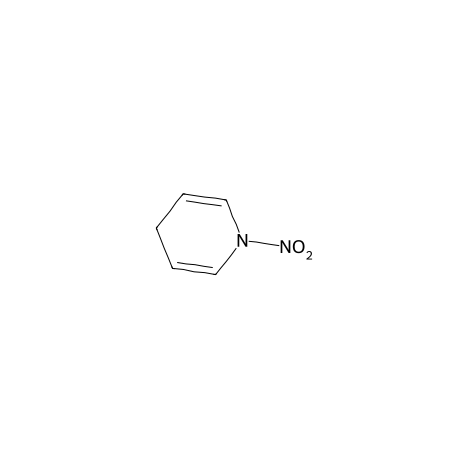 O=[N+]([O-])N1C=CCC=C1